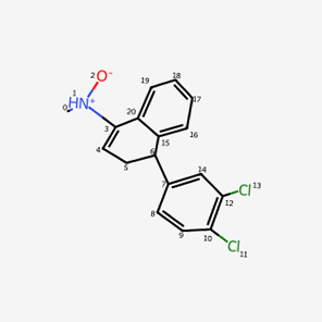 C[NH+]([O-])C1=CCC(c2ccc(Cl)c(Cl)c2)c2ccccc21